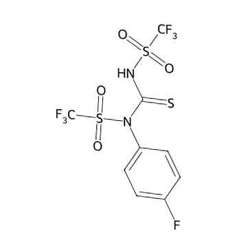 O=S(=O)(NC(=S)N(c1ccc(F)cc1)S(=O)(=O)C(F)(F)F)C(F)(F)F